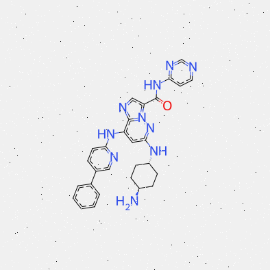 N[C@H]1CC[C@H](Nc2cc(Nc3ccc(-c4ccccc4)cn3)c3ncc(C(=O)Nc4ccncn4)n3n2)CC1